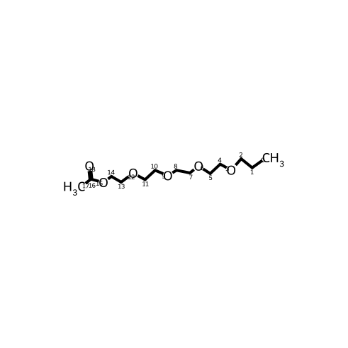 CCCOCCOCCOCCOCCOC(C)=O